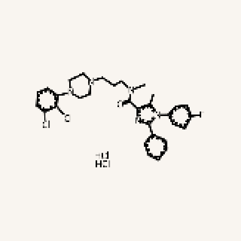 Cc1c(C(=O)N(C)CCCN2CCN(c3cccc(Cl)c3Cl)CC2)nc(-c2ccccc2)n1-c1ccc(F)cc1.Cl.Cl